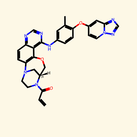 C=CC(=O)N1CCN2C[C@@H]1COc1c2ccc2ncnc(Nc3ccc(Oc4ccn5ncnc5c4)c(C)c3)c12